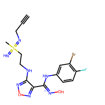 C#CCN=S(C)(=N)CCNc1nonc1/C(=N/O)Nc1ccc(F)c(Br)c1